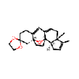 CC1=CC[C@@H]2C1(C)CC=C1C=C3CCC4(C[C@]35CC[C@@]12O5)OCCO4